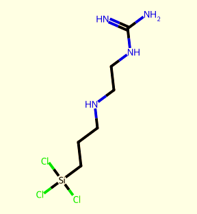 N=C(N)NCCNCCC[Si](Cl)(Cl)Cl